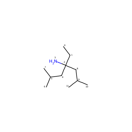 CCC(N)(CC(C)C)CC(C)C